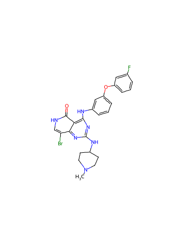 CN1CCC(Nc2nc(Nc3cccc(Oc4cccc(F)c4)c3)c3c(=O)[nH]cc(Br)c3n2)CC1